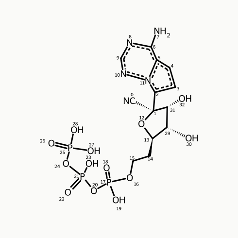 N#C[C@@]1(c2ccc3c(N)ncnn23)O[C@H](CCOP(=O)(O)OP(=O)(O)OP(=O)(O)O)[C@@H](O)[C@H]1O